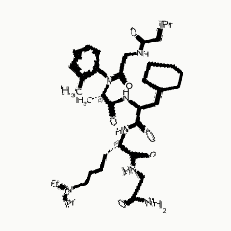 CCN(CCCC[C@H](NC(=O)C(CC1CCCCC1)NC(=O)[C@H](C)N(C(=O)CNC(=O)CC(C)C)c1ccccc1C)C(=O)NCC(N)=O)C(C)C